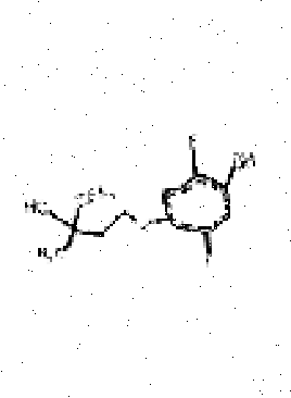 CC(C)(O)CCOc1cc(F)c(O)cc1F